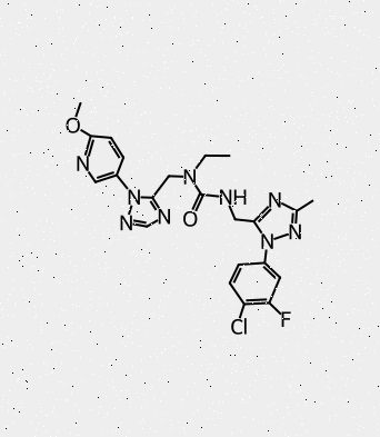 CCN(Cc1ncnn1-c1ccc(OC)nc1)C(=O)NCc1nc(C)nn1-c1ccc(Cl)c(F)c1